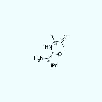 CC(C)[C@H](N)C(=O)N[C@@H](C)C(=O)I